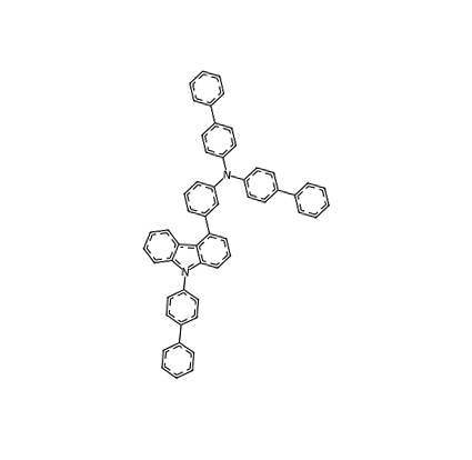 c1ccc(-c2ccc(N(c3ccc(-c4ccccc4)cc3)c3cccc(-c4cccc5c4c4ccccc4n5-c4ccc(-c5ccccc5)cc4)c3)cc2)cc1